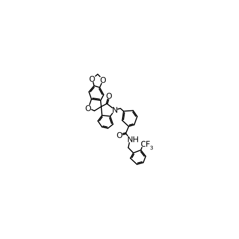 O=C(NCc1ccccc1C(F)(F)F)c1cccc(CN2C(=O)C3(COc4cc5c(cc43)OCO5)c3ccccc32)c1